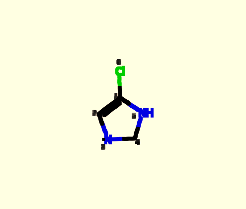 ClC1=C[N]CN1